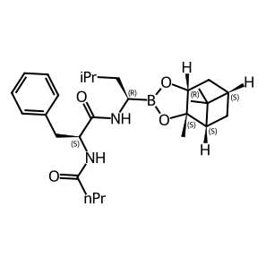 CCCC(=O)N[C@@H](Cc1ccccc1)C(=O)N[C@@H](CC(C)C)B1O[C@@H]2C[C@@H]3C[C@@H](C3(C)C)[C@]2(C)O1